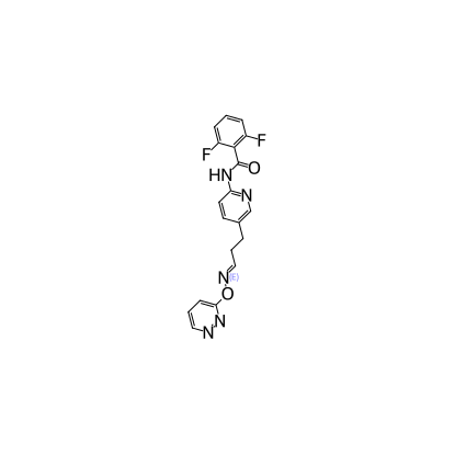 O=C(Nc1ccc(CC/C=N/Oc2cccnn2)cn1)c1c(F)cccc1F